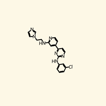 Clc1cccc(Nc2nccc(-c3ccnc(NCCn4ccnc4)c3)n2)c1